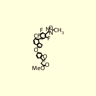 COC(=O)C[C@@H]1COc2cc(O[C@@H]3CCc4c3ccc(C(F)(F)F)c4-c3cc(F)c(-c4noc(C)n4)c(F)c3)ccc21